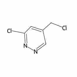 ClCc1cnnc(Cl)c1